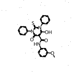 COc1cccc(NC(=O)c2c(O)n(-c3ccccc3)c(=S)n(-c3ccccc3)c2=O)c1